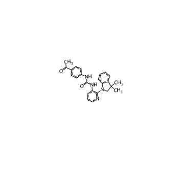 CC(=O)c1ccc(NC(=O)Nc2cccnc2N2CC(C)(C)c3ccccc32)cc1